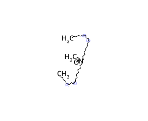 C=CC(=O)N(CCCCCCCC/C=C\C/C=C\CCCCC)CCCCCCCC/C=C\C/C=C\CCCCC